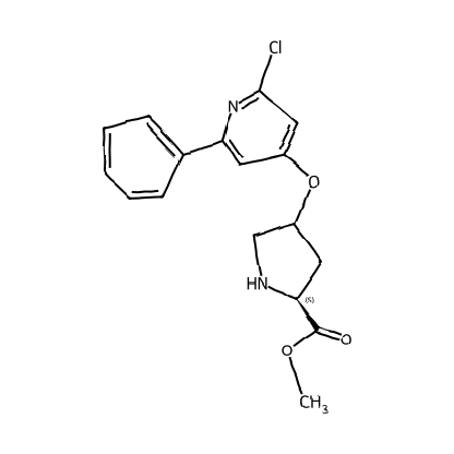 COC(=O)[C@@H]1CC(Oc2cc(Cl)nc(-c3ccccc3)c2)CN1